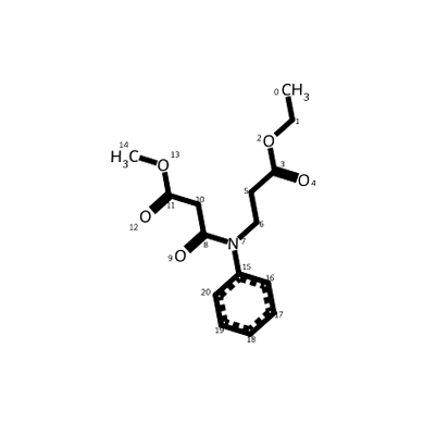 CCOC(=O)CCN(C(=O)CC(=O)OC)c1ccccc1